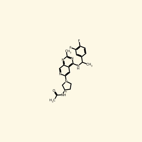 CC(=O)N[C@@H]1CCN(c2cc3c(NC(C)c4ccc(F)c(F)c4)nc(C)nc3cn2)C1